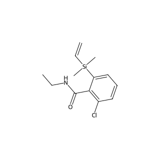 C=C[Si](C)(C)c1cccc(Cl)c1C(=O)NCC